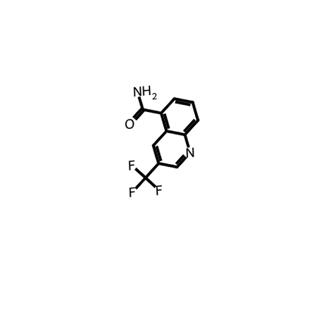 NC(=O)c1cccc2ncc(C(F)(F)F)cc12